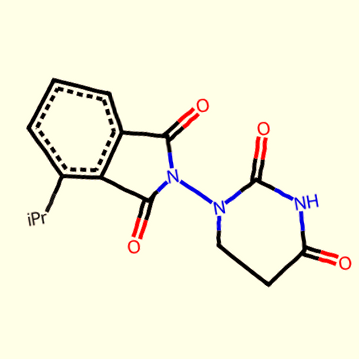 CC(C)c1cccc2c1C(=O)N(N1CCC(=O)NC1=O)C2=O